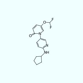 O=c1ccc(OC(F)F)cn1-c1ccc(NC2CCCC2)nc1